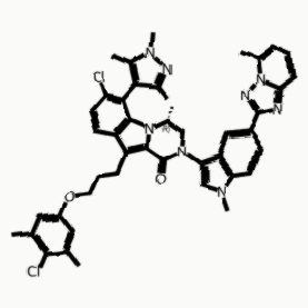 Cc1cc(OCCCc2c3n(c4c(-c5c(C)nn(C)c5C)c(Cl)ccc24)[C@H](C)CN(c2cn(C)c4ccc(-c5nc6cccc(C)n6n5)cc24)C3=O)cc(C)c1Cl